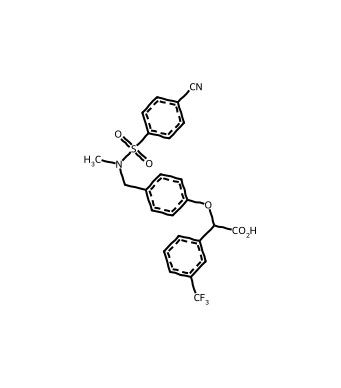 CN(Cc1ccc(OC(C(=O)O)c2cccc(C(F)(F)F)c2)cc1)S(=O)(=O)c1ccc(C#N)cc1